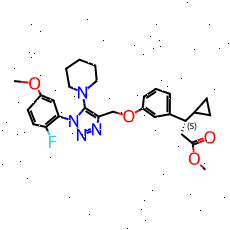 COC(=O)C[C@H](c1cccc(OCc2nnn(-c3cc(OC)ccc3F)c2N2CCCCC2)c1)C1CC1